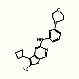 N#Cc1sc2cnc(Nc3cccc(N4CCOCC4)c3)cc2c1C1CCC1